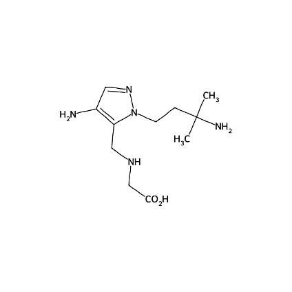 CC(C)(N)CCn1ncc(N)c1CNCC(=O)O